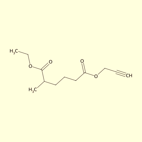 C#CCOC(=O)CCCC(C)C(=O)OCC